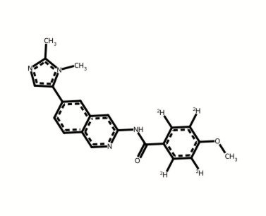 [2H]c1c([2H])c(C(=O)Nc2cc3cc(-c4cnc(C)n4C)ccc3cn2)c([2H])c([2H])c1OC